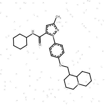 Cc1cc(C(=O)NC2CCCCC2)n(-c2ccc(OCC3CCCN4CCCCC34)cc2)n1